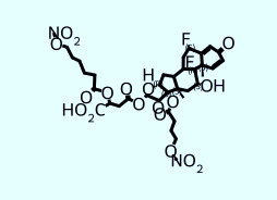 C[C@]12C=CC(=O)C=C1[C@@H](F)CC1C3C[C@@H](O)[C@](OC(=O)CCCO[N+](=O)[O-])(C(=O)COC(=O)CC(OC(=O)CCCCCO[N+](=O)[O-])C(=O)O)[C@@]3(C)C[C@H](O)[C@@]12F